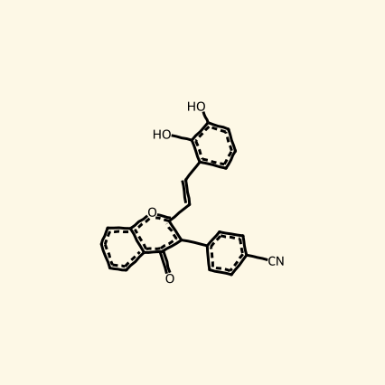 N#Cc1ccc(-c2c(C=Cc3cccc(O)c3O)oc3ccccc3c2=O)cc1